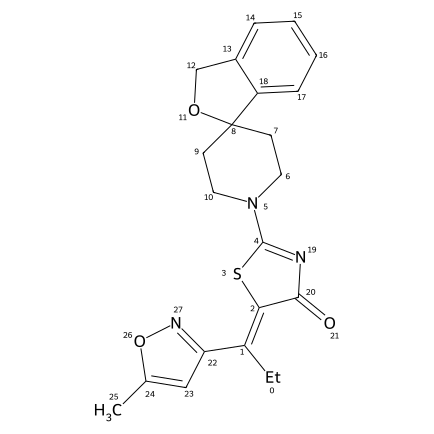 CC/C(=C1/SC(N2CCC3(CC2)OCc2ccccc23)=NC1=O)c1cc(C)on1